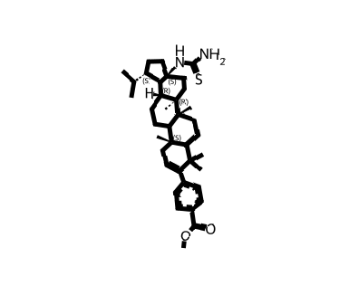 COC(=O)c1ccc(C2=CC[C@@]3(C)C(CC[C@]4(C)C3CC[C@@H]3C5[C@H](C(C)C)CC[C@]5(NC(N)=S)CC[C@]34C)C2(C)C)cc1